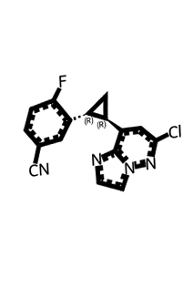 N#Cc1ccc(F)c([C@@H]2C[C@H]2c2cc(Cl)nn3ccnc23)c1